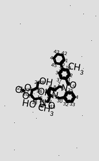 Cc1cc(C(=O)N2Cc3ccc(C(=O)N(C)C[C@H](O)[C@H]4OC(=O)O[C@@H]4[C@H](O)CO)n3Cc3ccccc32)ccc1C1=CCCCC1